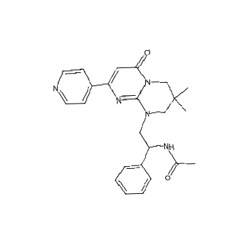 CC(=O)NC(CN1CC(C)(C)Cn2c1nc(-c1ccncc1)cc2=O)c1ccccc1